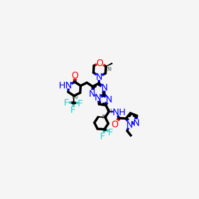 CCn1nccc1C(=O)N[C@H](c1cn2nc(CC3C[C@@H](C(F)(F)F)CNC3=O)c(N3CCO[C@@H](C)C3)nc2n1)[C@@H]1CCCC(F)(F)C1